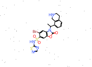 CC(c1cccc2c1CNCC2)n1c(=O)oc2cc(S(=O)(=O)Nc3ncns3)c(Br)cc21